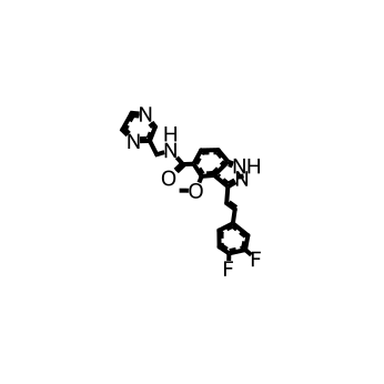 COc1c(C(=O)NCc2cnccn2)ccc2[nH]nc(/C=C/c3ccc(F)c(F)c3)c12